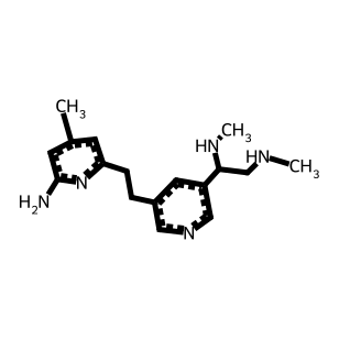 CNCC(NC)c1cncc(CCc2cc(C)cc(N)n2)c1